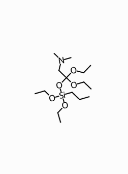 CCC[Si](OCC)(OCC)OC(CN(C)C)(OCC)OCC